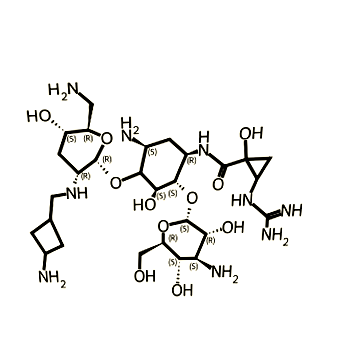 N=C(N)NC1CC1(O)C(=O)N[C@@H]1C[C@H](N)C(O[C@H]2O[C@H](CN)[C@@H](O)C[C@H]2NCC2CC(N)C2)[C@H](O)[C@H]1O[C@H]1O[C@H](CO)[C@@H](O)[C@H](N)[C@H]1O